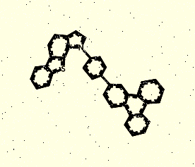 c1ccc2c(c1)sc1c2ccc2ccn(-c3ccc(-c4ccc5c6ccccc6c6ccccc6c5c4)cc3)c21